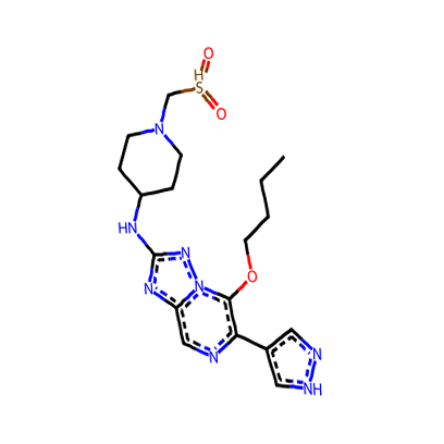 CCCCOc1c(-c2cn[nH]c2)ncc2nc(NC3CCN(C[SH](=O)=O)CC3)nn12